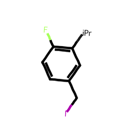 CC(C)c1cc(CI)ccc1F